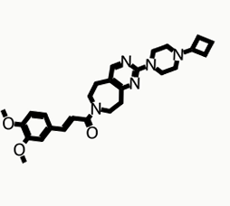 COc1ccc(C=CC(=O)N2CCc3cnc(N4CCN(C5CCC5)CC4)nc3CC2)cc1OC